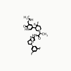 CNCc1cc(C2CN([C@@H](C)C(=O)Nc3cn4c(n3)CC[C@@H]4c3cc(F)cc(F)c3)CCC2(F)F)c[nH]c1=O